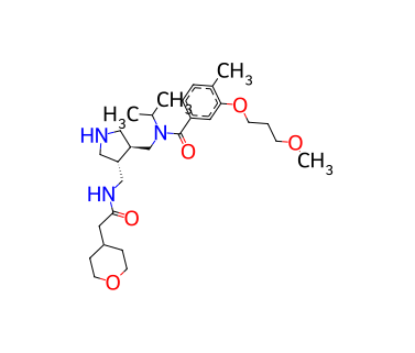 COCCCOc1cc(C(=O)N(C[C@@H]2CNC[C@H]2CNC(=O)CC2CCOCC2)C(C)C)ccc1C